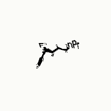 [C]#CC(F)CCCCCC